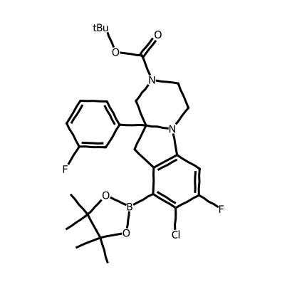 CC(C)(C)OC(=O)N1CCN2c3cc(F)c(Cl)c(B4OC(C)(C)C(C)(C)O4)c3CC2(c2cccc(F)c2)C1